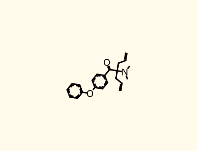 C=CCC(CC=C)(C(=O)c1ccc(Oc2ccccc2)cc1)N(C)C